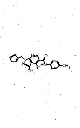 Cc1ccc(NC(=O)c2cnc3c(c(C)nn3CC3=CCC=C3)c2Cl)cc1